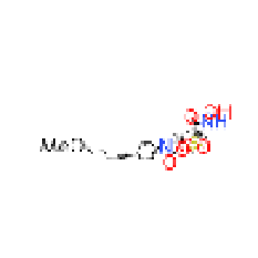 COCCCCC#Cc1ccc(N2C[C@H](C[C@](C)(C(=O)NO)S(C)(=O)=O)OC2=O)cc1